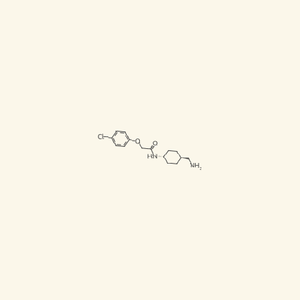 NC[C@H]1CC[C@H](NC(=O)COc2ccc(Cl)cc2)CC1